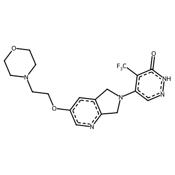 O=c1[nH]ncc(N2Cc3cc(OCCN4CCOCC4)cnc3C2)c1C(F)(F)F